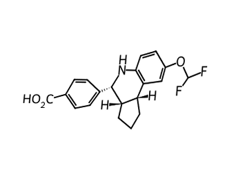 O=C(O)c1ccc([C@@H]2Nc3ccc(OC(F)F)cc3[C@@H]3CCC[C@@H]32)cc1